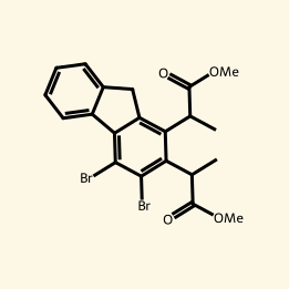 COC(=O)C(C)c1c(Br)c(Br)c2c(c1C(C)C(=O)OC)Cc1ccccc1-2